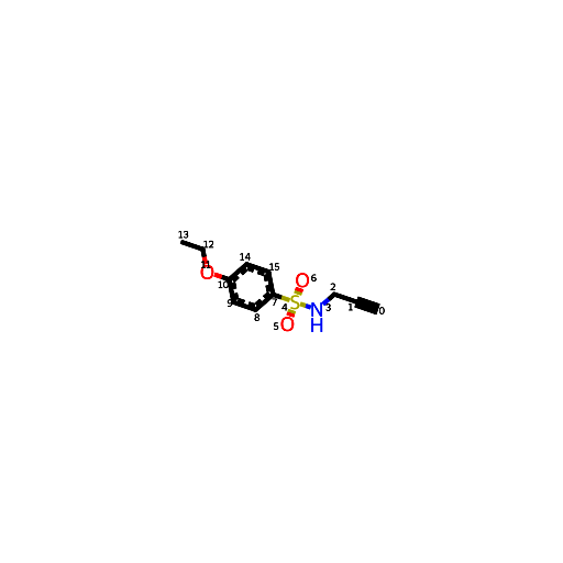 C#CCNS(=O)(=O)c1ccc(OCC)cc1